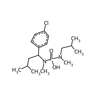 CC(C)CC(c1ccc(Cl)cc1)N(C)P(=O)(O)N(C)CC(C)C